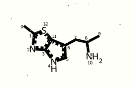 Cc1nc2[nH]cc(CC(C)N)c2s1